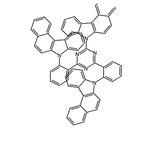 c1ccc(-n2c3ccccc3c3c4ccccc4ccc32)c(-c2nc(-c3ccccc3-n3c4ccccc4c4c5ccccc5ccc43)nc(-n3c4ccccc4c4c5ccccc5ccc43)n2)c1